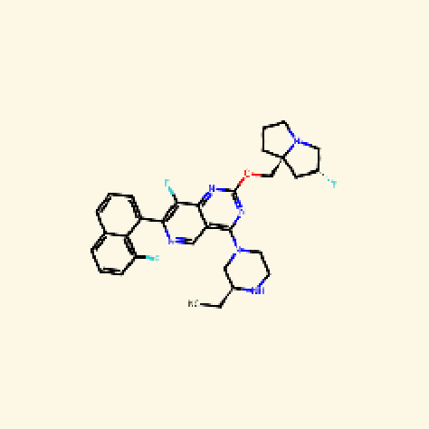 N#CC[C@H]1CN(c2nc(OC[C@@]34CCCN3C[C@H](F)C4)nc3c(F)c(-c4cccc5cccc(F)c45)ncc23)CCN1